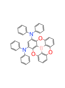 c1ccc(N(c2ccccc2)c2cc(N(c3ccccc3)c3ccccc3)c3c4c2Oc2cccc5c2B4c2c(cccc2O3)O5)cc1